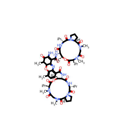 Cc1ccc(C(=O)N[C@@H]2C(=O)N[C@H](C(C)C)C(=O)N3CCC[C@H]3C(=O)N(C)CC(=O)N(C)[C@@H](C(C)C)C(=O)O[C@@H]2C)c2c1OC1C(=N2)C(C(=O)N[C@@H]2C(=O)N[C@H](C(C)C)C(=O)N3CCC[C@H]3C(=O)N(C)CC(=O)N(C)[C@@H](C(C)C)C(=O)O[C@@H]2C)=C(N)C(=O)C1C